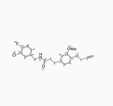 C#CCOc1ccc(CCC(=O)NCc2ccc(F)c(Cl)c2)cc1OC